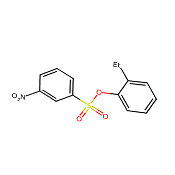 CCc1ccccc1OS(=O)(=O)c1cccc([N+](=O)[O-])c1